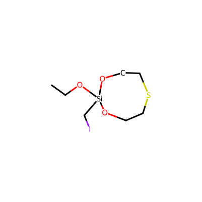 CCO[Si]1(CI)OCCSCCO1